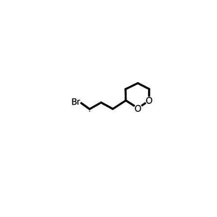 Br[CH]CCC1CCCOO1